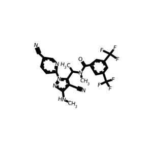 CNc1nn(-c2ccc(C#N)cn2)c(C(C)N(C)C(=O)c2cc(C(F)(F)F)cc(C(F)(F)F)c2)c1C#N